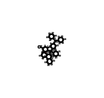 Clc1ccc2c(c1)-c1cc(N(c3ccccc3)c3ccccc3)ccc1[Si]2(c1ccccc1)c1cc2ccccc2c2ccccc12